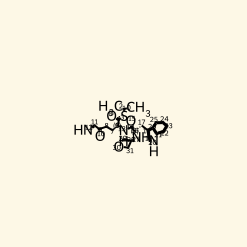 CC(C)SC(=O)[C@H](CCC(=O)C=N)NC(=O)[C@H](Cc1c[nH]c2ccccc12)NC1COC1